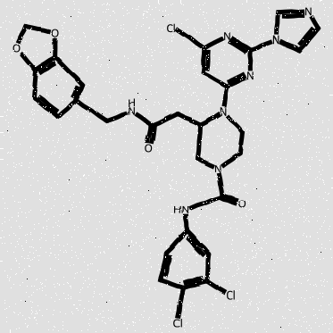 O=C(CC1CN(C(=O)Nc2ccc(Cl)c(Cl)c2)CCN1c1cc(Cl)nc(-n2ccnc2)n1)NCc1ccc2c(c1)OCO2